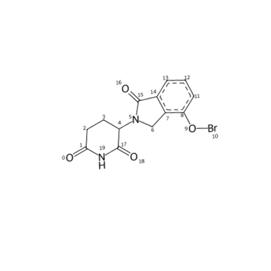 O=C1CCC(N2Cc3c(OBr)cccc3C2=O)C(=O)N1